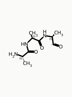 C[C@H](N)C(=O)N[C@@H](C)C(=O)N[C@@H](C)[C]=O